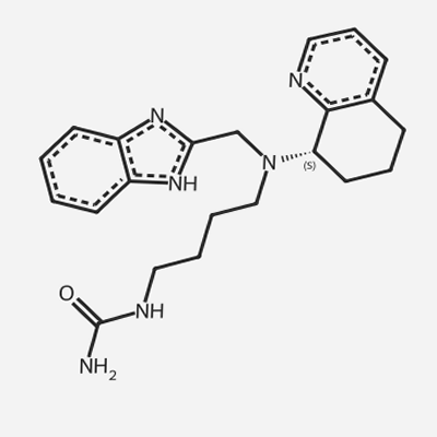 NC(=O)NCCCCN(Cc1nc2ccccc2[nH]1)[C@H]1CCCc2cccnc21